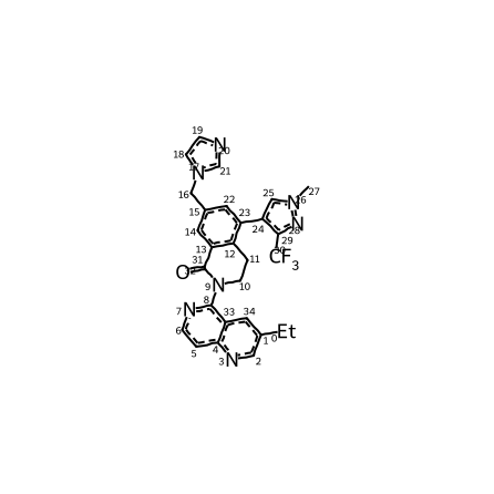 CCc1cnc2ccnc(N3CCc4c(cc(Cn5ccnc5)cc4-c4cn(C)nc4C(F)(F)F)C3=O)c2c1